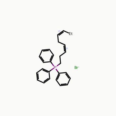 CC/C=C\C/C=C\CC[P+](c1ccccc1)(c1ccccc1)c1ccccc1.[Br-]